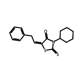 O=C1C(=CCc2ccccc2)SC(=S)N1C1CCCCC1